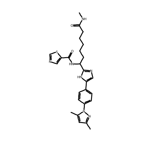 CNC(=O)CCCCCC(NC(=O)c1cncs1)c1ncc(-c2ccc(-n3nc(C)cc3C)cc2)[nH]1